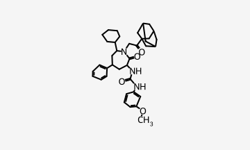 COc1cccc(NC(=O)NC2CC(c3ccccc3)CC(C3CCCCC3)N(CC(=O)C34CC5CC(CC(C5)C3)C4)C2=O)c1